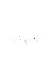 N#Cc1cccc(-c2cc(N3CCN4CCNC[C@H]4C3=O)on2)c1